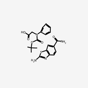 CC(C)(C)OC(=O)N(CC(=O)O)c1ccccc1.NC(=O)c1ccc2nc(N)sc2c1